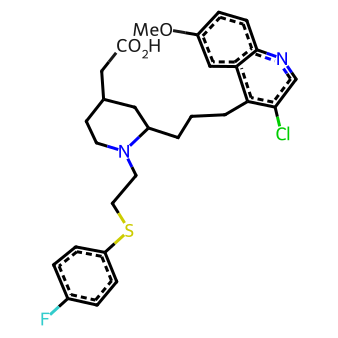 COc1ccc2ncc(Cl)c(CCCC3CC(CC(=O)O)CCN3CCSc3ccc(F)cc3)c2c1